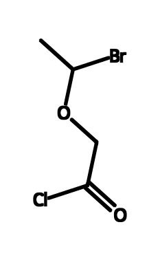 CC(Br)OCC(=O)Cl